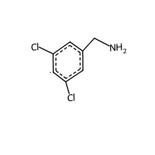 NCc1cc(Cl)[c]c(Cl)c1